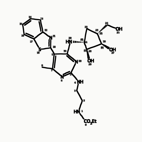 CCOC(=O)NCCNc1nc(C)c(-c2nc3ccccc3s2)c(N[C@@H]2C[C@H](CO)[C@@H](O)[C@H]2O)n1